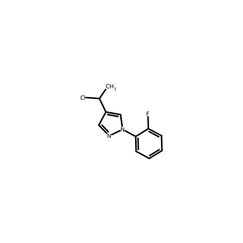 CC(Cl)c1cnn(-c2ccccc2F)c1